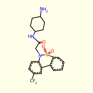 NC1CCC(NC(=O)CN2c3ccc(C(F)(F)F)cc3-c3ccccc3S2(=O)=O)CC1